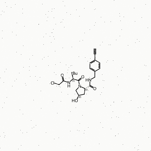 C#Cc1ccc(CNC(=O)[C@@H]2C[C@@H](O)CN2C(=O)[C@@H](NC(=O)CCl)C(C)(C)C)cc1